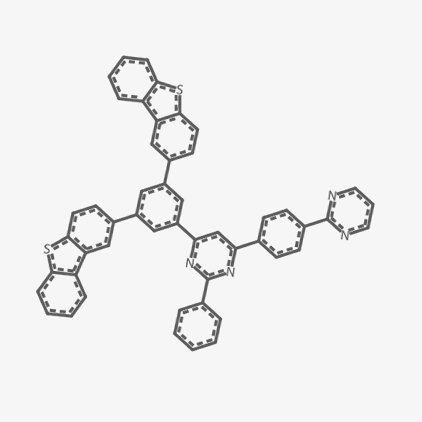 c1ccc(-c2nc(-c3ccc(-c4ncccn4)cc3)cc(-c3cc(-c4ccc5sc6ccccc6c5c4)cc(-c4ccc5sc6ccccc6c5c4)c3)n2)cc1